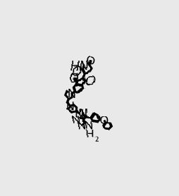 Nc1ncnc2c1c(-c1ccc(Oc3ccccc3)cc1)nn2C1CCN(CC2CCN(c3ccc4c(c3)C(=O)C(C3CCC(=O)NC3=O)C4=O)C2)CC1